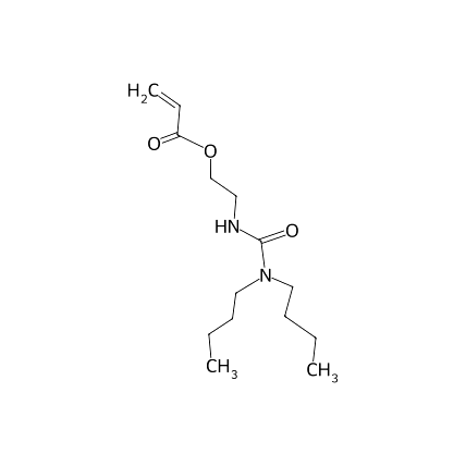 C=CC(=O)OCCNC(=O)N(CCCC)CCCC